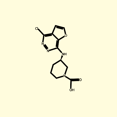 O=C(O)N1CCC[C@@H](Nc2nnc(Cl)c3ccoc23)C1